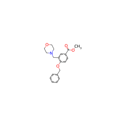 COC(=O)c1ccc(OCc2ccccc2)c(CN2CCOCC2)c1